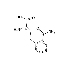 NC(=O)c1ncccc1CC[C@H](N)C(=O)O